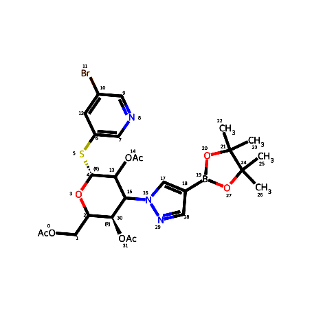 CC(=O)OCC1O[C@H](Sc2cncc(Br)c2)C(OC(C)=O)C(n2cc(B3OC(C)(C)C(C)(C)O3)cn2)[C@H]1OC(C)=O